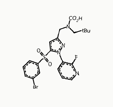 CC(C)(C)CN(Cc1cc(S(=O)(=O)c2cccc(Br)c2)n(-c2cccnc2F)n1)C(=O)O